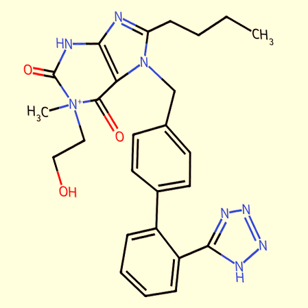 CCCCc1nc2c(n1Cc1ccc(-c3ccccc3-c3nnn[nH]3)cc1)C(=O)[N+](C)(CCO)C(=O)N2